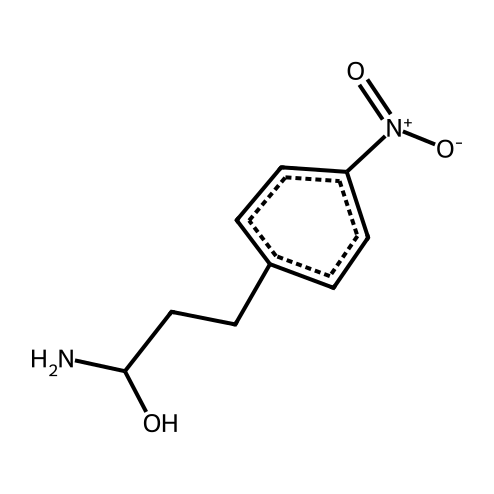 NC(O)CCc1ccc([N+](=O)[O-])cc1